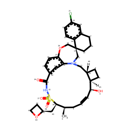 C[C@@H]1C/C=C\[C@H](O)[C@@H]2CC[C@H]2CN2C[C@@]3(CCCc4cc(Cl)ccc43)COc3ccc(cc32)C(=O)NS(=O)(=O)[C@@H]1C[C@@H]1CCO1